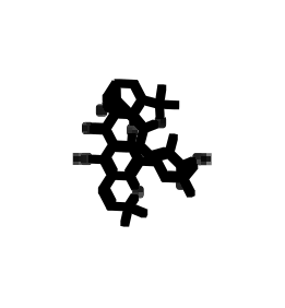 CC(C)=CCc1c2c(c(O)c3c1O[C@]14C(=CC5CC1C(C)(C)OC4(C/C=C(\C)C(=O)O)C5=O)C3=O)C=CC(C)(C)O2